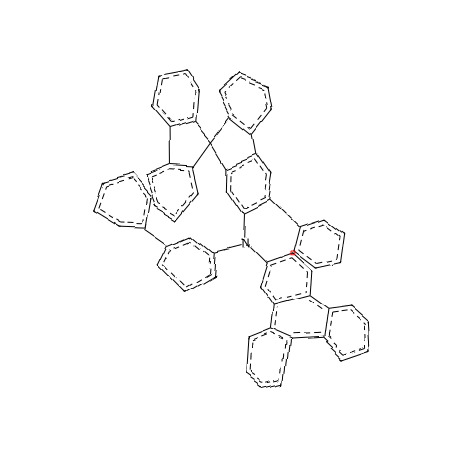 c1ccc(-c2cccc(N(c3ccc4c5ccccc5c5ccccc5c4c3)c3cc4c(cc3-c3ccccc3)-c3ccccc3C43c4ccccc4-c4ccccc43)c2)cc1